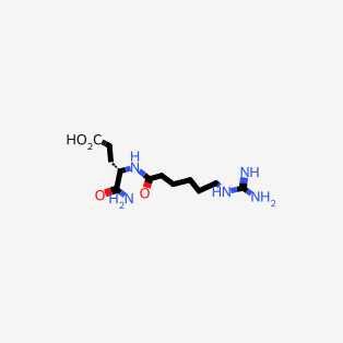 N=C(N)NCCCCCC(=O)N[C@@H](CCC(=O)O)C(N)=O